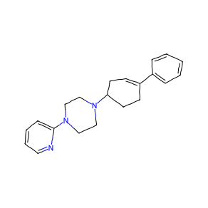 C1=C(c2ccccc2)CCC(N2CCN(c3ccccn3)CC2)C1